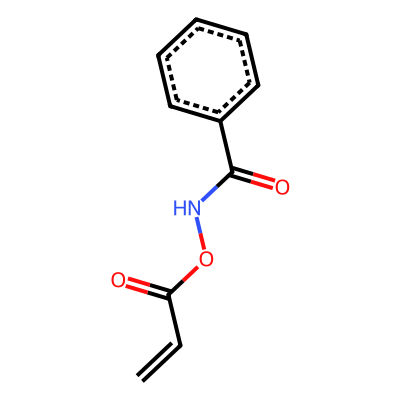 C=CC(=O)ONC(=O)c1ccccc1